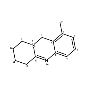 Cc1cccc2c1CN1CCCCC1=N2